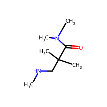 CNCC(C)(C)C(=O)N(C)C